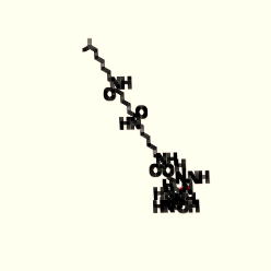 CC(C)CCCCCCNC(=O)CCCCC(=O)NCCCCCCNC(=O)OCC1NC(=N)N2CCC(O)(O)[C@@]23NC(=N)N[C@@H]13